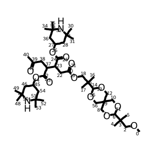 COCC(C)(C)C1OCC2(CO1)COC(C(C)(C)COC(=O)CC(C(=O)OC1CC(C)(C)NC(C)(C)C1)C(CC(C)=O)C(=O)OC1CC(C)(C)NC(C)(C)C1)OC2